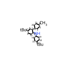 Cc1ccc(-c2cc(C(C)(C)C)ccc2Nc2ccc(C(C)(C)C)cc2)cc1